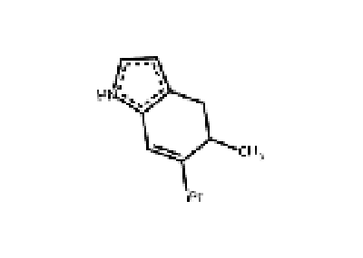 CC(C)C1=Cc2[nH]ccc2CC1C